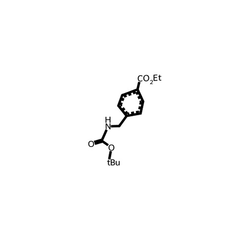 CCOC(=O)c1ccc(CNC(=O)OC(C)(C)C)cc1